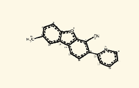 Cc1ccc2oc3c(C#N)c(-c4ccccn4)ccc3c2c1